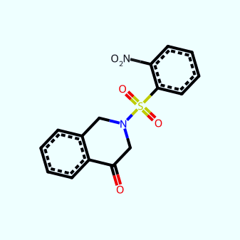 O=C1CN(S(=O)(=O)c2ccccc2[N+](=O)[O-])Cc2ccccc21